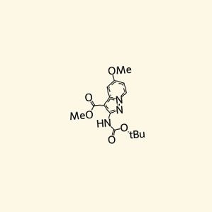 COC(=O)c1c(NC(=O)OC(C)(C)C)nn2ccc(OC)cc12